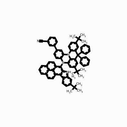 CC(C)(C)c1ccc2c(c1)C(c1ccccc1)(c1ccccc1)c1cc(C(C)(C)C)cc3c1N2c1cc(-c2cccc(C#N)c2)ccc1B3c1c2ccc3cccc4ccc(c5c1[nH]c1cc(C(C)(C)C)ccc15)c2c34